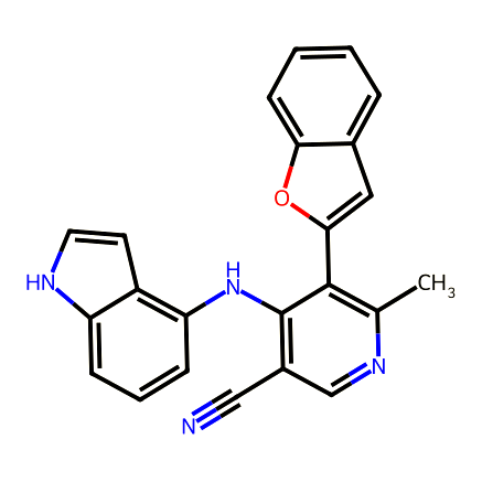 Cc1ncc(C#N)c(Nc2cccc3[nH]ccc23)c1-c1cc2ccccc2o1